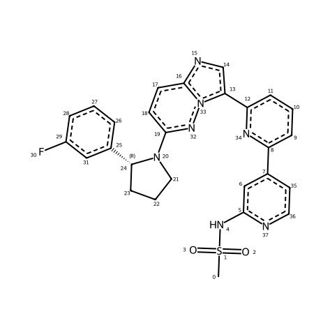 CS(=O)(=O)Nc1cc(-c2cccc(-c3cnc4ccc(N5CCC[C@@H]5c5cccc(F)c5)nn34)n2)ccn1